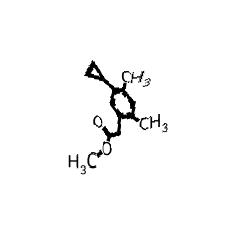 COC(=O)Cc1cc(C2CC2)c(C)cc1C